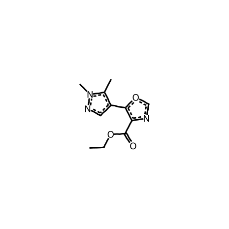 CCOC(=O)c1ncoc1-c1cnn(C)c1C